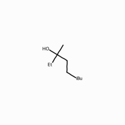 CCC(C)CCC(C)(O)CC